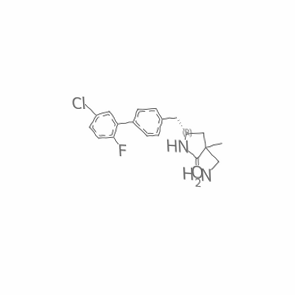 CC1(CN)C[C@@H](Cc2ccc(-c3cc(Cl)ccc3F)cc2)NC1=O